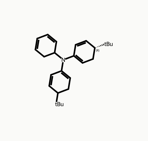 CC(C)(C)C1C=CC(N(C2=CC[C@@H](C(C)(C)C)C=C2)C2C=CC=CC2)=CC1